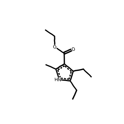 CCOC(=O)c1c(C)[nH]c(CC)c1CC